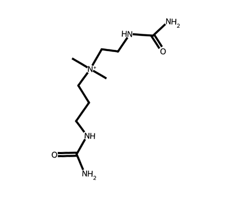 C[N+](C)(CCCNC(N)=O)CCNC(N)=O